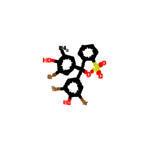 Bc1cc(C2(c3cc(Br)c(O)c(Br)c3)OS(=O)(=O)c3ccccc32)cc(Br)c1O